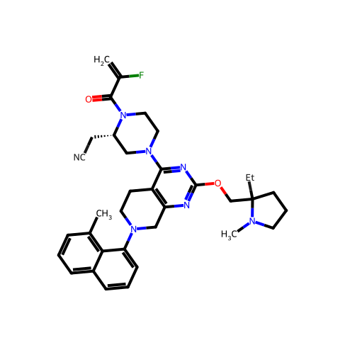 C=C(F)C(=O)N1CCN(c2nc(OCC3(CC)CCCN3C)nc3c2CCN(c2cccc4cccc(C)c24)C3)C[C@@H]1CC#N